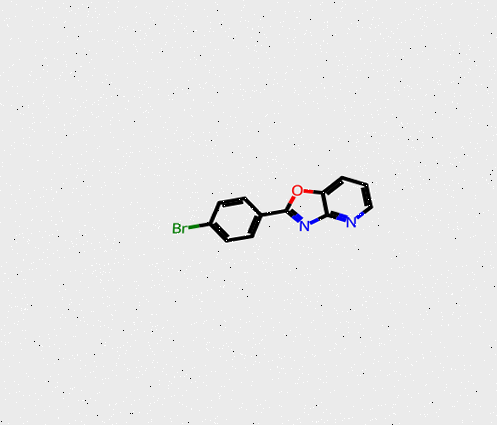 Brc1ccc(-c2nc3ncccc3o2)cc1